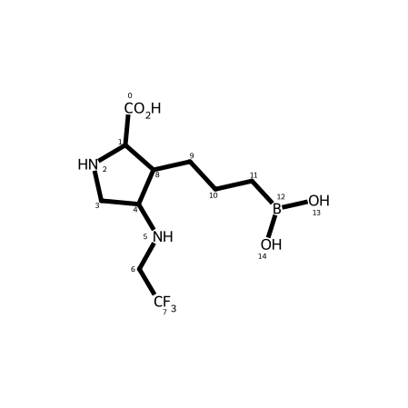 O=C(O)C1NCC(NCC(F)(F)F)C1CCCB(O)O